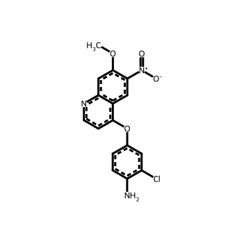 COc1cc2nccc(Oc3ccc(N)c(Cl)c3)c2cc1[N+](=O)[O-]